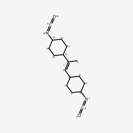 C/C(=C\C1CCC(N=C=O)CC1)C1CCC(N=C=O)CC1